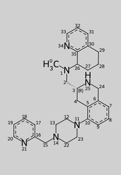 CN(C[C@H]1Cc2c(cccc2N2CCN(Cc3ccccn3)CC2)CN1)C1CCCc2cccnc21